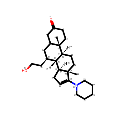 C[C@]12CCC(=O)CC1C[C@H](CCO)[C@@H]1[C@@H]2CC[C@]2(C)C(N3CCCCC3)=CC[C@@H]12